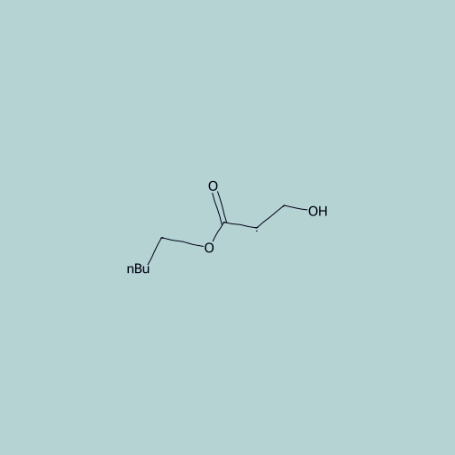 CCCCCOC(=O)[CH]CO